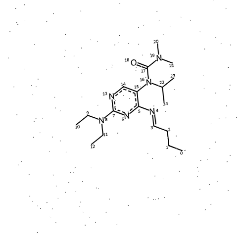 [CH2]CCC=Nc1nc(N(CC)CC)ncc1N(C(=O)N(C)C)C(C)C